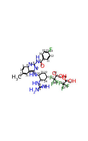 Cc1ccc2nc(NC(=O)c3ccc(F)cc3)nc(NC3CCCCC3NC(=N)N)c2c1.O=C(O)C(F)(F)F.O=C(O)C(F)(F)F